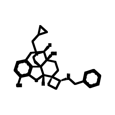 Oc1ccc2c3c1O[C@H]1[C@@]4(CC[C@H]4NCc4ccccc4)CC[C@@]4(O)[C@@H](C2)N(CC2CC2)CC[C@]314